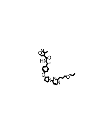 CCCOCCCc1nccc(N2CC[C@@H](Oc3ccc([C@H](C)NC(=O)c4conc4C)cc3)C2)n1